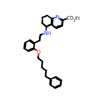 CCOC(=O)c1ccc2c(n1)CCCC2NCCc1ccccc1OCCCCCc1ccccc1